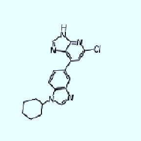 Clc1cc(-c2ccc3c(c2)ncn3C2CCCCC2)c2nc[nH]c2n1